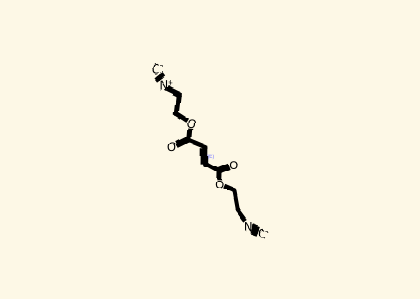 [C-]#[N+]CCOC(=O)/C=C/C(=O)OCC[N+]#[C-]